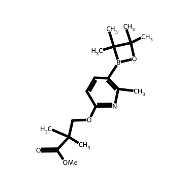 COC(=O)C(C)(C)COc1ccc(B2OC(C)(C)C2(C)C)c(C)n1